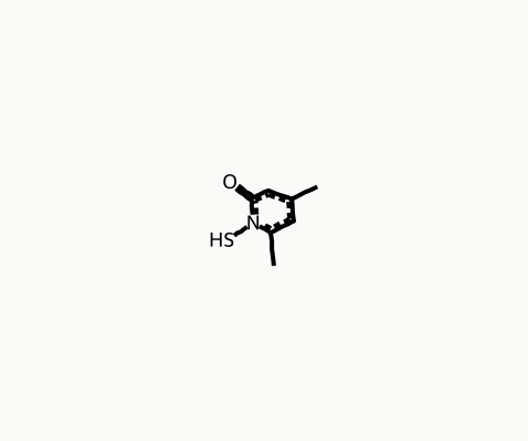 Cc1cc(C)n(S)c(=O)c1